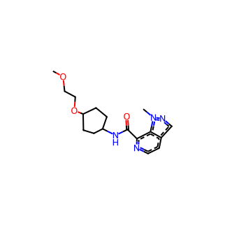 COCCOC1CCC(NC(=O)c2nccc3cnn(C)c23)CC1